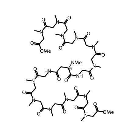 CN[C@@H](CC(=O)NCC(=O)N(C)CC(=O)N(C)CC(=O)N(C)CC(=O)N(C)CC(=O)N(C)CC(=O)N(C)CC(=O)OC)C(=O)NCC(=O)N(C)CC(=O)N(C)CC(=O)N(C)CC(=O)N(C)CC(=O)N(C)CC(=O)N(C)CC(=O)OC